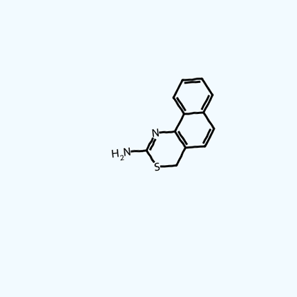 NC1=Nc2c(ccc3ccccc23)CS1